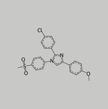 COc1ccc(-c2cn(-c3ccc(S(C)(=O)=O)cc3)c(-c3ccc(Cl)cc3)n2)cc1